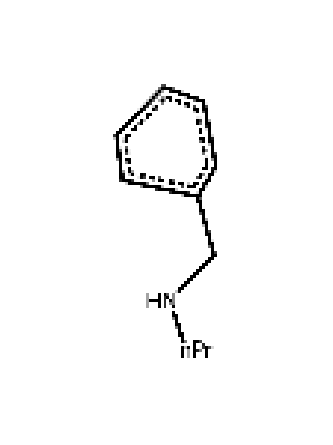 C[CH]CNCc1ccccc1